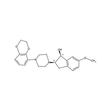 COc1ccc2c(c1)[C@H](O)[C@H](N1CCN(c3cccc4c3OCCO4)CC1)C2